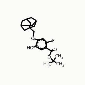 CC(C)(C)OC(=O)c1cc(O)c(OCC23CC4CC(CC(C4)C2)C3)cc1F